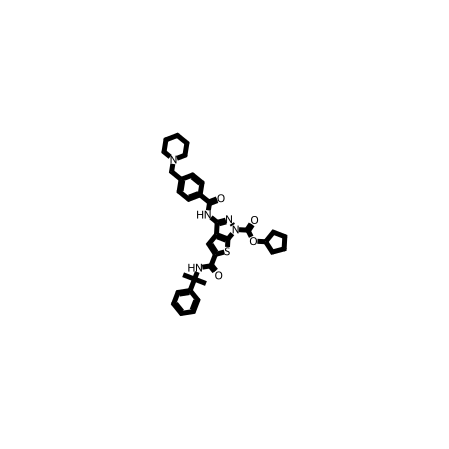 CC(C)(NC(=O)c1cc2c(NC(=O)c3ccc(CN4CCCCC4)cc3)nn(C(=O)OC3CCCC3)c2s1)c1ccccc1